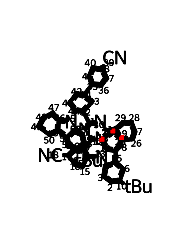 CC(C)(C)c1ccc2c(c1)c1ccccc1n2-c1ccc(C#N)cc1-c1nc(-c2ccccc2)nc(-c2cc(-c3ccc(C#N)cc3)ccc2-n2c3ccccc3c3cc(C(C)(C)C)ccc32)n1